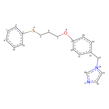 c1ccc(SCCCOc2ccc(Cn3ccnc3)cc2)cc1